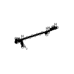 C=CC(=O)N1CCN(c2nc(NCCOCCOCCOCCOCCOCCOCCOCCOCCc3cc(Cl)cc(NC(=O)NCc4ccc5c(c4)CN(C4CCC(=O)NC4=O)C5=O)c3)nc3c(F)c(-c4cc(O)cc5ccccc45)c(Cl)cc23)CC1